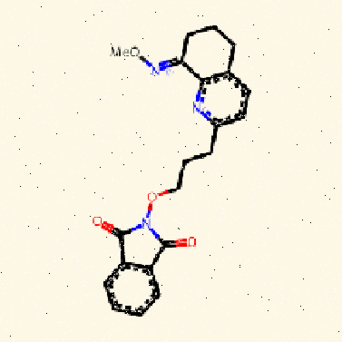 CO/N=C1\CCCc2ccc(CCCON3C(=O)c4ccccc4C3=O)nc21